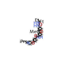 CCC(CC)NC(=O)Nc1ccc(Oc2ccc(NC(=O)c3ccc(OC4CCN(CCC(C)C)CC4)cc3)cc2)c(OC)c1